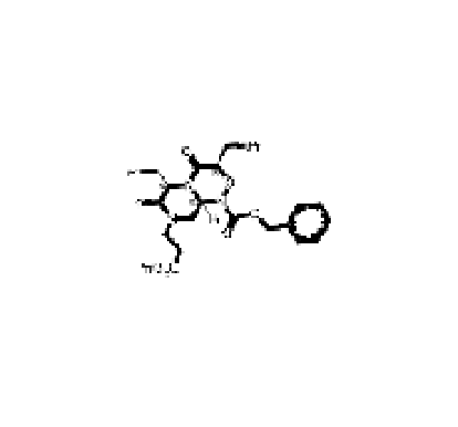 CC(C)C[C@H]1ON(C(=O)OCc2ccccc2)[C@H]2CN(CCC(=O)O)C(=O)[C@H](CC(C)C)N2C1=O